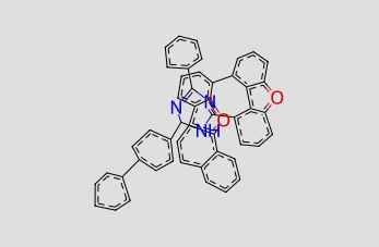 c1ccc(C2=NC(c3ccc(-c4ccccc4)cc3)NC(c3cccc4oc5cccc(-c6cccc7c6oc6c8ccccc8ccc76)c5c34)=N2)cc1